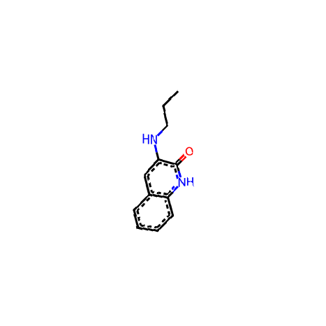 CCCNc1cc2ccccc2[nH]c1=O